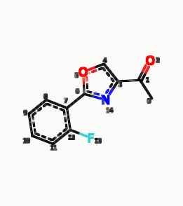 CC(=O)c1coc(-c2ccccc2F)n1